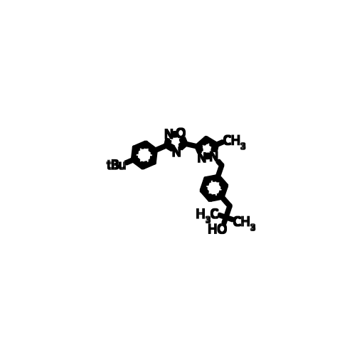 Cc1cc(-c2nc(-c3ccc(C(C)(C)C)cc3)no2)nn1Cc1cccc(CC(C)(C)O)c1